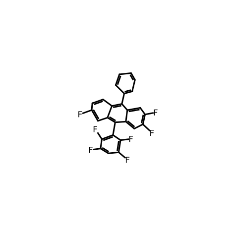 Fc1ccc2c(-c3ccccc3)c3cc(F)c(F)cc3c(-c3c(F)c(F)cc(F)c3F)c2c1